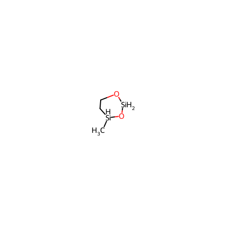 C[SiH]1CCO[SiH2]O1